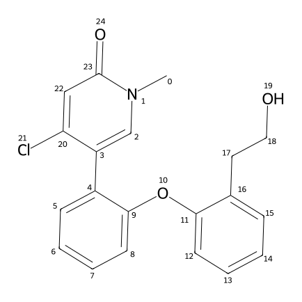 Cn1cc(-c2ccccc2Oc2ccccc2CCO)c(Cl)cc1=O